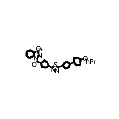 CCCOc1ccc(-c2ccc(-c3nnc(-c4ccc(C(=O)n5n[n+]([O-])c6ccccc65)cc4)s3)cc2)cc1